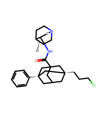 O=C(N[C@@H]1CN2CCC1CC2)C12CC3C[C@](CCCCl)(C1)C[C@@](c1ccccc1)(C3)C2